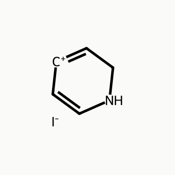 [C+]1=CCNC=C1.[I-]